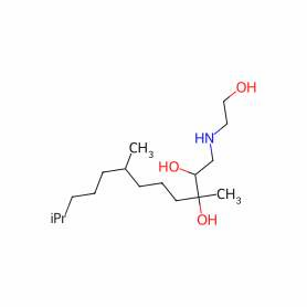 CC(C)CCCC(C)CCCC(C)(O)C(O)CNCCO